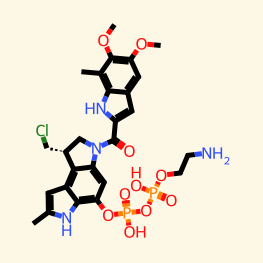 COc1cc2cc(C(=O)N3C[C@@H](CCl)c4c3cc(OP(=O)(O)OP(=O)(O)OCCN)c3[nH]c(C)cc43)[nH]c2c(C)c1OC